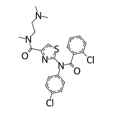 CN(C)CCN(C)C(=O)c1csc(N(C(=O)c2ccccc2Cl)c2ccc(Cl)cc2)n1